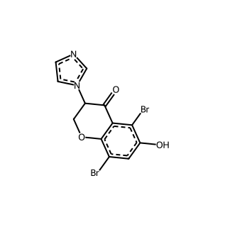 O=C1c2c(Br)c(O)cc(Br)c2OCC1n1ccnc1